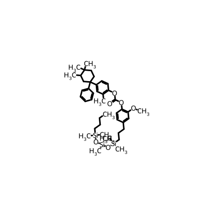 CCCC[Si](C)(C)O[Si](C)(C)O[Si](C)(C)CCCc1ccc(OC(=O)Oc2ccc(C3(c4ccccc4)CCC(C)(C)C(C)C3)cc2C)c(OC)c1